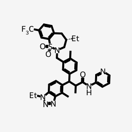 CC[C@H]1Cc2ccc(C(F)(F)F)cc2S(=O)(=O)N(Cc2cc(C(c3ccc4c(nnn4CC)c3C)C(C)C(=O)Nc3cccnc3)ccc2C)C1